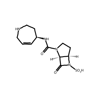 O=C(N[C@H]1C=CCNCC1)N1CC[C@@H]2[C@H]1C(=O)N2S(=O)(=O)O